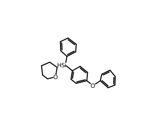 c1ccc(Oc2ccc([SiH](c3ccccc3)C3CCCCO3)cc2)cc1